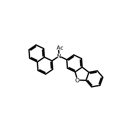 CC(=O)N(c1ccc2c(c1)oc1ccccc12)c1cccc2ccccc12